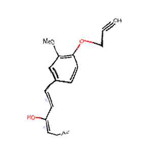 C#CCOc1ccc(/C=C/C(O)=C\C(C)=O)cc1OC